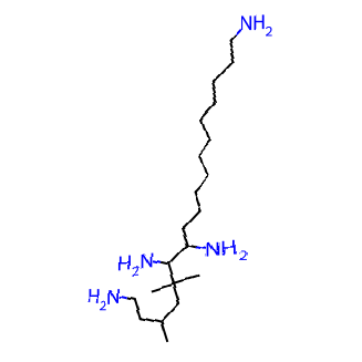 CC(CCN)CC(C)(C)C(N)C(N)CCCCCCCCCCCN